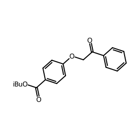 CC(C)COC(=O)c1ccc(OCC(=O)c2ccccc2)cc1